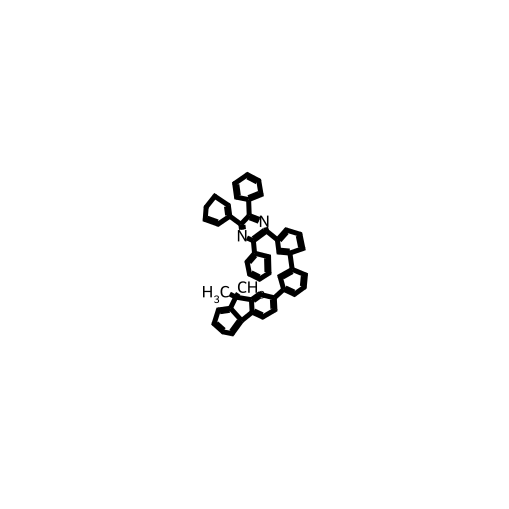 CC1(C)c2ccccc2-c2ccc(-c3cccc(-c4cccc(-c5nc(-c6ccccc6)c(C6=CCCC=C6)nc5-c5ccccc5)c4)c3)cc21